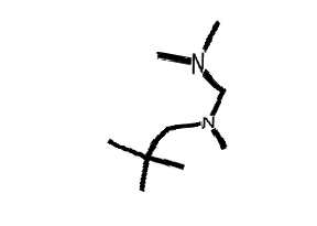 CN(C)CN(C)CC(C)(C)C